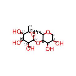 CC(C)C1OCC(O)C(O)C1OC1OC(C)C(O)C(O)C1O